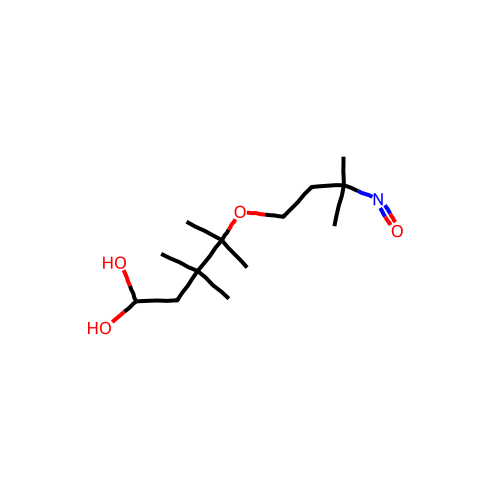 CC(C)(CCOC(C)(C)C(C)(C)CC(O)O)N=O